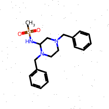 CS(=O)(=O)NC1CN(Cc2ccccc2)CCN1Cc1ccccc1